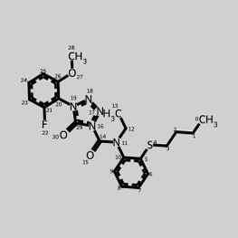 CCCCSc1ccccc1N(CC)C(=O)n1nnn(-c2c(F)cccc2OC)c1=O